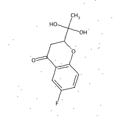 CC(O)(O)C1CC(=O)c2cc(F)ccc2O1